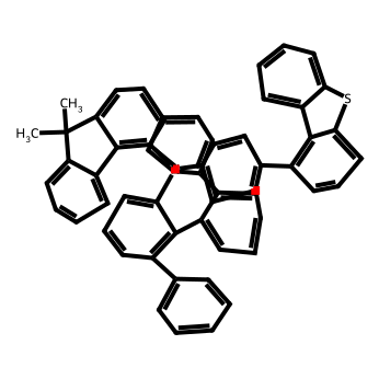 CC1(C)c2ccccc2-c2c(N(c3ccc(-c4cccc5sc6ccccc6c45)cc3)c3cccc(-c4ccccc4)c3-c3ccccc3-c3ccccc3)cccc21